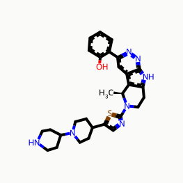 C[C@H]1c2c([nH]c3nnc(-c4ccccc4O)cc23)CCN1c1ncc(C2CCN(C3CCNCC3)CC2)s1